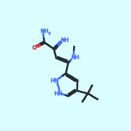 CN/C(=C\C(=N)C(N)=O)C1=CC(C(C)(C)C)=CNN1